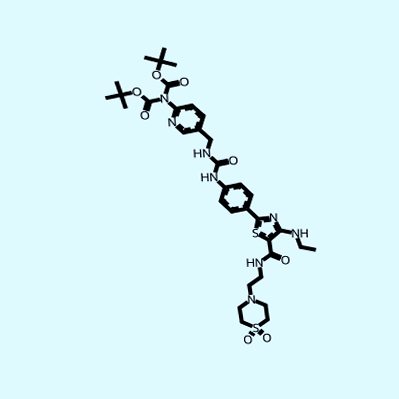 CCNc1nc(-c2ccc(NC(=O)NCc3ccc(N(C(=O)OC(C)(C)C)C(=O)OC(C)(C)C)nc3)cc2)sc1C(=O)NCCN1CCS(=O)(=O)CC1